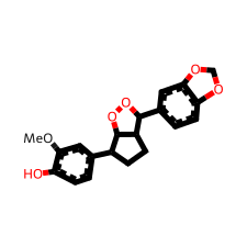 COc1cc(C2CCC3C(c4ccc5c(c4)OCO5)OOC23)ccc1O